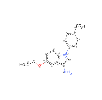 Nc1cn(-c2ccc(C(=O)O)cc2)c2ccc(OCC(=O)O)cc12